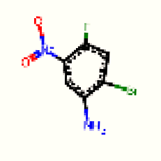 Nc1cc([N+](=O)[O-])c(F)cc1Br